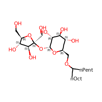 CCCCCCCCC(CCCCC)OC[C@H]1O[C@H](O[C@]2(CO)O[C@H](CO)[C@@H](O)[C@@H]2O)[C@H](O)[C@@H](O)[C@@H]1O